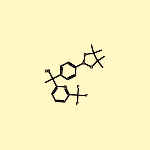 CC(O)(c1ccc(B2OC(C)(C)C(C)(C)O2)cc1)c1cccc(C(F)(F)F)n1